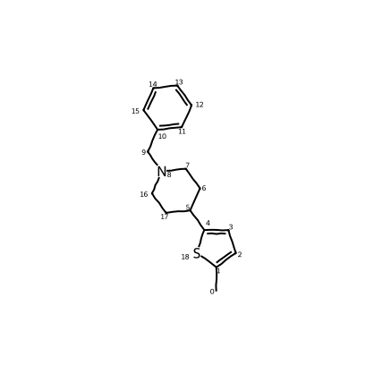 Cc1ccc(C2CCN(Cc3ccccc3)CC2)s1